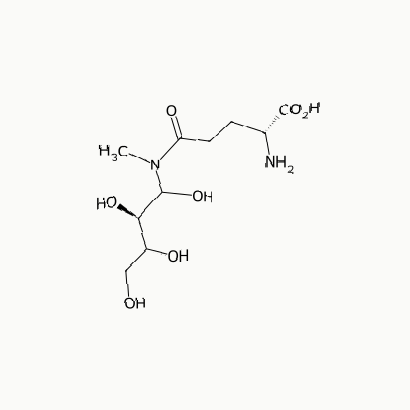 CN(C(=O)CC[C@@H](N)C(=O)O)C(O)[C@H](O)C(O)CO